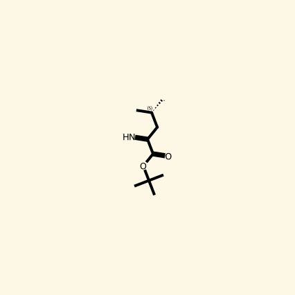 [CH2][C@@H](C)CC(=N)C(=O)OC(C)(C)C